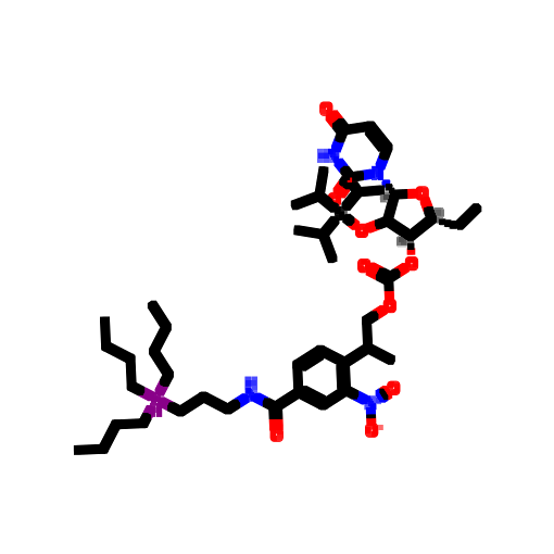 CCCC[PH](CCCC)(CCCC)CCCNC(=O)c1ccc(C(C)COC(=O)O[C@@H]2C(O[Si](C(C)C)(C(C)C)C(C)C)[C@H](n3ccc(=O)[nH]c3=O)O[C@@H]2CC)c([N+](=O)[O-])c1